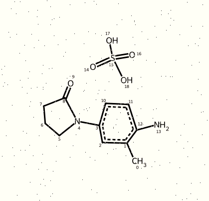 Cc1cc(N2CCCC2=O)ccc1N.O=S(=O)(O)O